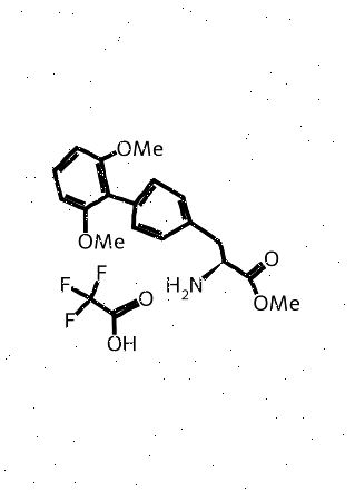 COC(=O)[C@@H](N)Cc1ccc(-c2c(OC)cccc2OC)cc1.O=C(O)C(F)(F)F